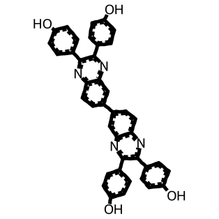 Oc1ccc(-c2nc3ccc(-c4ccc5nc(-c6ccc(O)cc6)c(-c6ccc(O)cc6)nc5c4)cc3nc2-c2ccc(O)cc2)cc1